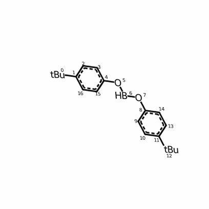 CC(C)(C)c1ccc(OBOc2ccc(C(C)(C)C)cc2)cc1